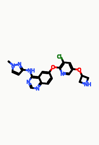 Cn1ccc(Nc2ncnc3ccc(Oc4ncc(OC5CNC5)cc4Cl)cc23)n1